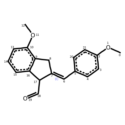 COc1ccc(/C=C2\Cc3c(OC)cccc3C2C=O)cc1